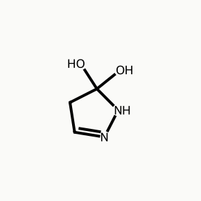 OC1(O)CC=NN1